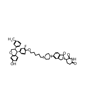 Cc1cccc([C@@H]2COc3cc(O)ccc3[C@@H]2c2ccc(OCCCCCN3CCN(c4ccc5c(c4)CN(C4CCC(=O)NC4=O)C5=O)CC3)c(F)c2)c1